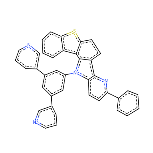 c1ccc(-c2ccc3c(n2)c2ccc4sc5ccccc5c4c2n3-c2cc(-c3cccnc3)cc(-c3cccnc3)c2)cc1